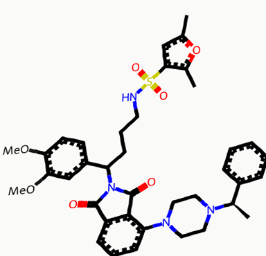 COc1ccc(C(CCCNS(=O)(=O)c2cc(C)oc2C)N2C(=O)c3cccc(N4CCN([C@H](C)c5ccccc5)CC4)c3C2=O)cc1OC